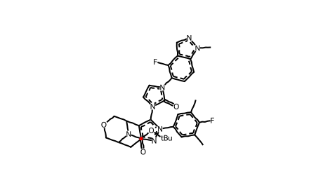 Cc1cc(-n2nc3c(c2-n2ccn(-c4ccc5c(cnn5C)c4F)c2=O)C2COCC(C3)N2C(=O)OC(C)(C)C)cc(C)c1F